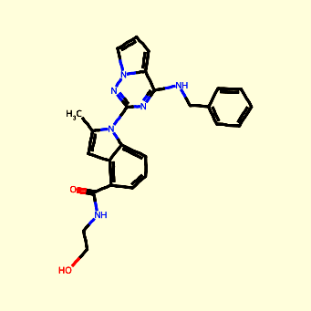 Cc1cc2c(C(=O)NCCO)cccc2n1-c1nc(NCc2ccccc2)c2cccn2n1